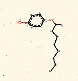 CCCCCCCC(C)Oc1ccc(O)cc1